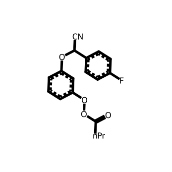 CCCC(=O)OOc1cccc(OC(C#N)c2ccc(F)cc2)c1